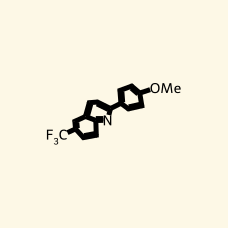 COc1ccc(-c2ccc3cc(C(F)(F)F)ccc3n2)cc1